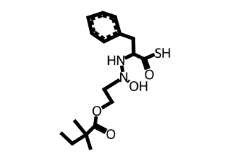 CCC(C)(C)C(=O)OCCN(O)NC(Cc1ccccc1)C(=O)S